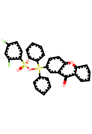 O=c1c2ccccc2oc2ccc(S(OS(=O)(=O)c3ccc(F)cc3F)(c3ccccc3)c3ccccc3)cc12